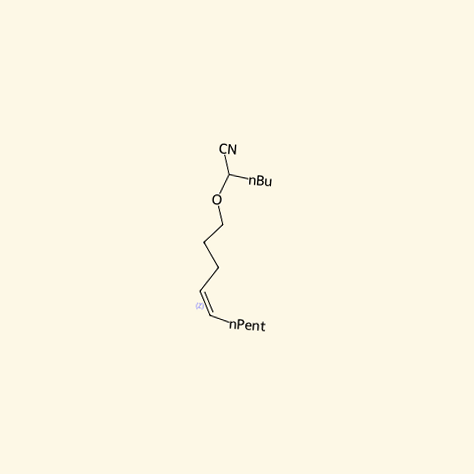 CCCCC/C=C\CCCOC(C#N)CCCC